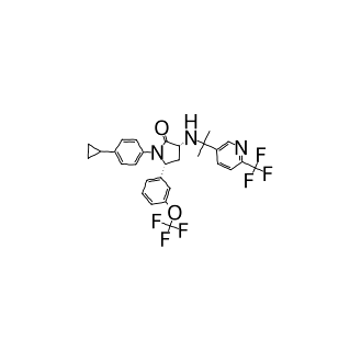 CC(C)(N[C@@H]1C[C@H](c2cccc(OC(F)(F)F)c2)N(c2ccc(C3CC3)cc2)C1=O)c1ccc(C(F)(F)F)nc1